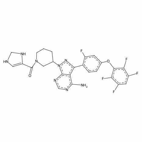 Nc1ncnc2c1c(-c1ccc(Oc3c(F)c(F)cc(F)c3F)cc1F)nn2C1CCCN(C(=O)C2=CNCN2)C1